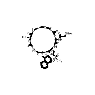 CC(=O)NCC(=O)N[C@H]1CC(=O)NCCCCCNC(=O)[C@H](C)NC(=O)CNC(=O)[C@@H](Cc2cccc3ccccc23)NC(=O)[C@H](CCS(C)(=O)=O)NC1=O